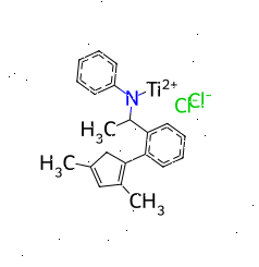 CC1=CC(C)=C(c2ccccc2C(C)[N]([Ti+2])c2ccccc2)C1.[Cl-].[Cl-]